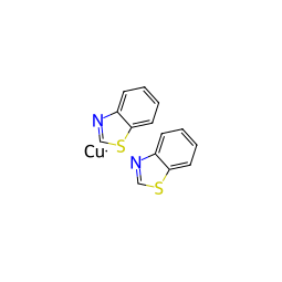 [Cu].c1ccc2scnc2c1.c1ccc2scnc2c1